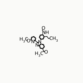 CCCc1cc(-n2c(-c3cccc(OC)n3)nc3cc(C(C)=O)ccc32)ccc1NC=O